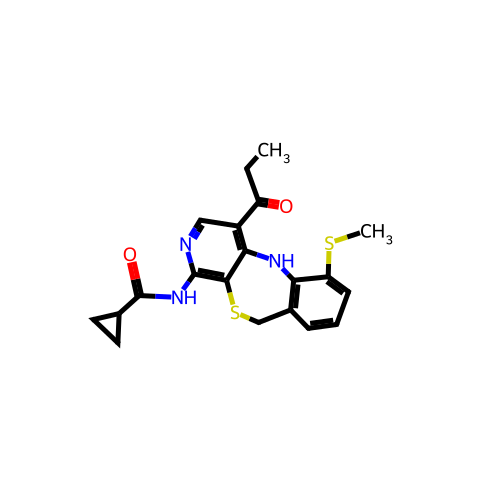 CCC(=O)c1cnc(NC(=O)C2CC2)c2c1Nc1c(cccc1SC)CS2